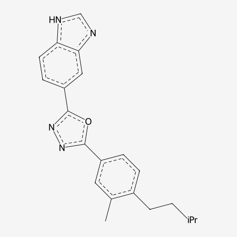 Cc1cc(-c2nnc(-c3ccc4[nH]cnc4c3)o2)ccc1CCC(C)C